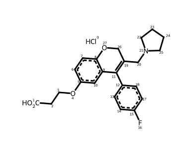 Cl.O=C(O)CCOc1ccc2c(c1)C(c1ccc(F)cc1)=C(CN1CCCC1)CO2